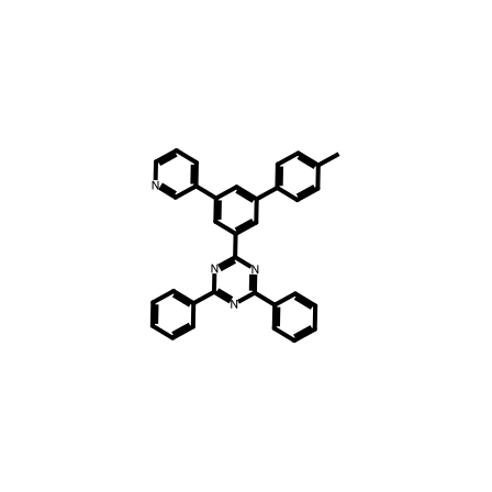 Cc1ccc(-c2cc(-c3cccnc3)cc(-c3nc(-c4ccccc4)nc(-c4ccccc4)n3)c2)cc1